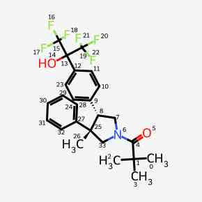 CC(C)(C)C(=O)N1C[C@@H](c2ccc(C(O)(C(F)(F)F)C(F)(F)F)cc2)[C@@](C)(c2ccccc2)C1